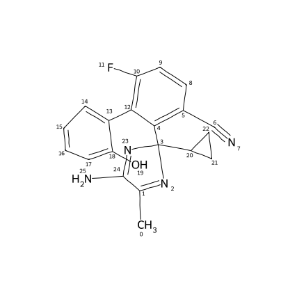 CC1=NC(c2c(C#N)ccc(F)c2-c2ccccc2O)(C2CC2)N=C1N